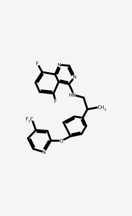 CC(CNc1ncnc2c(F)ccc(F)c12)c1ccc(Oc2cc(C(F)(F)F)ccn2)cc1